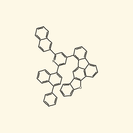 c1ccc(-c2ccc(-c3cc(-c4cccc5c4-c4cc6c7ccccc7oc6c6cccc-5c46)cc(-c4ccc5ccccc5c4)n3)c3ccccc23)cc1